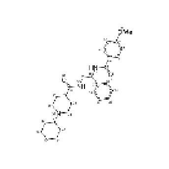 COc1ccc(C(=O)NC(CNC(=O)C2CCN(C3CCCCC3)CC2)c2ccccc2)cc1